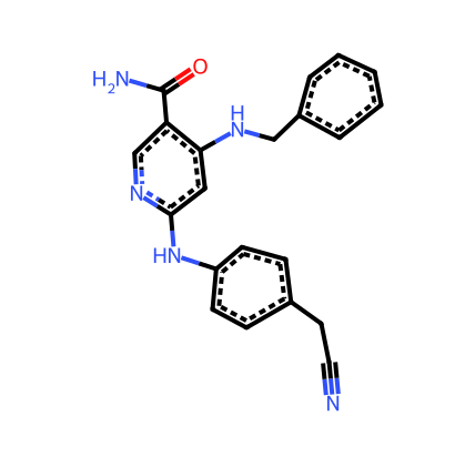 N#CCc1ccc(Nc2cc(NCc3ccccc3)c(C(N)=O)cn2)cc1